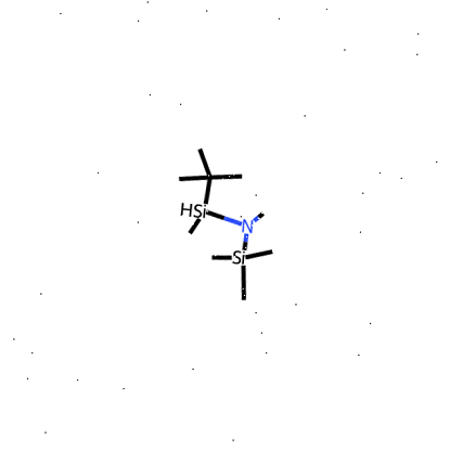 CN([SiH](C)C(C)(C)C)[Si](C)(C)C